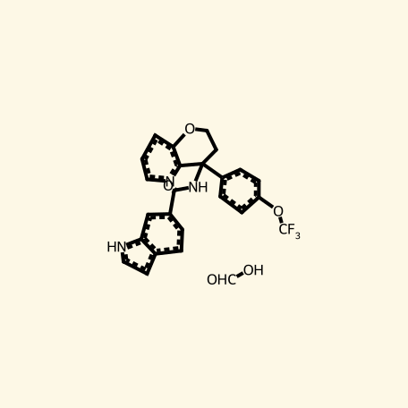 O=C(NC1(c2ccc(OC(F)(F)F)cc2)CCOc2cccnc21)c1ccc2cc[nH]c2c1.O=CO